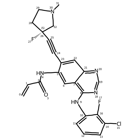 C=CC(=O)Nc1cc2c(Nc3cccc(Cl)c3F)ncnc2cc1C#C[C@@]1(F)CCN(C)C1